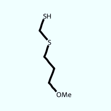 COCCCSCS